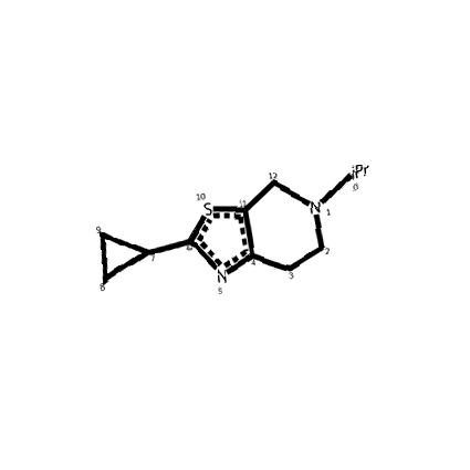 CC(C)N1CCc2nc(C3CC3)sc2C1